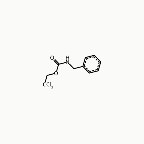 O=C(NCc1ccccc1)OCC(Cl)(Cl)Cl